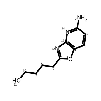 Nc1ccc2oc(CCCCO)nc2n1